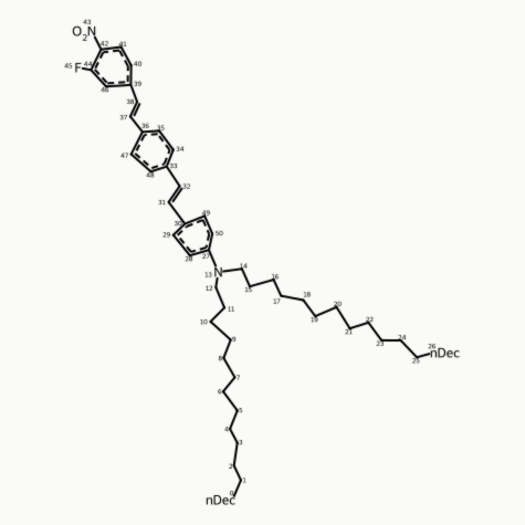 CCCCCCCCCCCCCCCCCCCCCCN(CCCCCCCCCCCCCCCCCCCCCC)c1ccc(C=Cc2ccc(C=Cc3ccc([N+](=O)[O-])c(F)c3)cc2)cc1